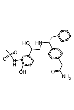 CS(=O)(=O)Nc1cc(C(O)CN[C@H](Cc2ccccc2)c2ccc(CC(N)=O)cc2)ccc1O